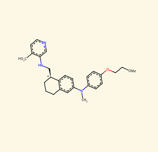 COCCOc1ccc(N(C)c2ccc3c(c2)CCC[C@H]3CNc2cnccc2C(=O)O)cc1